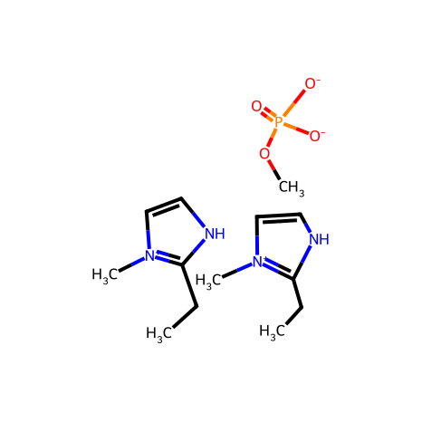 CCc1[nH]cc[n+]1C.CCc1[nH]cc[n+]1C.COP(=O)([O-])[O-]